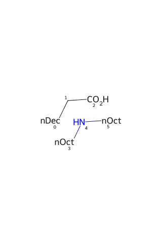 CCCCCCCCCCCC(=O)O.CCCCCCCCNCCCCCCCC